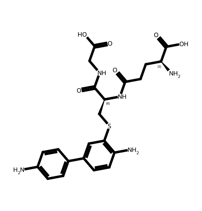 Nc1ccc(-c2ccc(N)c(SC[C@H](NC(=O)CC[C@H](N)C(=O)O)C(=O)NCC(=O)O)c2)cc1